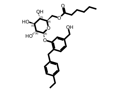 CCCCCC(=O)OC[C@H]1O[C@H](Oc2cc(CO)ccc2Cc2ccc(CC)cc2)[C@H](O)[C@@H](O)[C@@H]1O